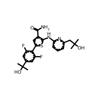 CC(C)(O)Cc1cccc(Nc2sc(-c3c(F)cc(C(C)(C)O)cc3F)cc2C(N)=O)n1